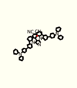 N#Cc1ccc(-c2c(-n3c4ccccc4c4cc(-c5ccc(N(c6ccccc6)c6ccccc6)cc5)ccc43)cncc2-n2c3ccccc3c3cc(-c4ccc(N(c5ccccc5)c5ccccc5)cc4)ccc32)cc1C#N